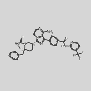 COC[C@@]1(Cc2ccccc2)CC[C@@H](c2nc(-c3ccc(C(=O)Nc4cc(C(F)(F)F)ccn4)cc3)c3c(N)nccn23)CN1C(=O)O